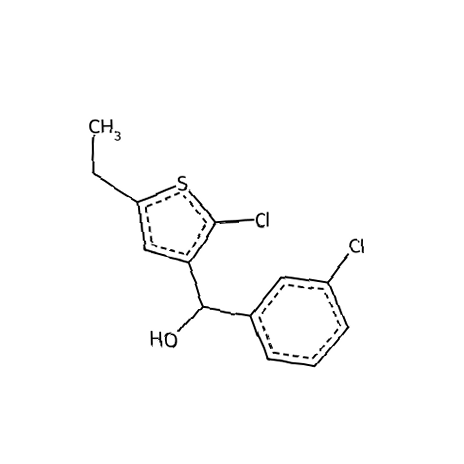 CCc1cc(C(O)c2cccc(Cl)c2)c(Cl)s1